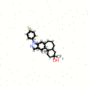 CCC12CCC(O)(C(F)(F)F)CC1CCCc1cc3c(cnn3-c3ccc(F)cc3)cc12